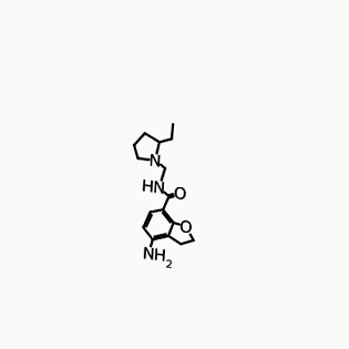 CCC1CCCN1CNC(=O)c1ccc(N)c2c1OCC2